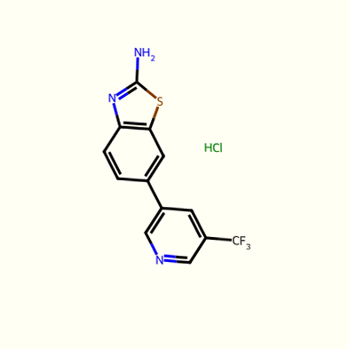 Cl.Nc1nc2ccc(-c3cncc(C(F)(F)F)c3)cc2s1